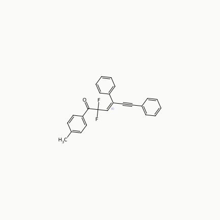 Cc1ccc(C(=O)C(F)(F)/C=C(/C#Cc2ccccc2)c2ccccc2)cc1